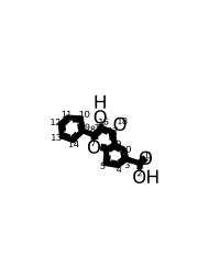 O=C(O)c1ccc2oc(-c3ccccc3)c(O)c(=O)c2c1